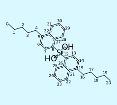 CCCCCc1ccc([Si](O)(O)c2ccc(CCCCC)c3ccccc23)c2ccccc12